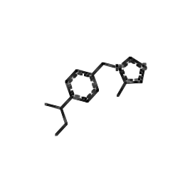 CCC(C)c1ccc(C[n+]2cscc2C)cc1